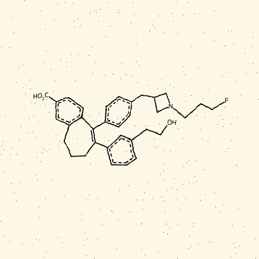 O=C(O)c1ccc2c(c1)CCCC(c1cccc(CCO)c1)=C2c1ccc(CC2CN(CCCF)C2)cc1